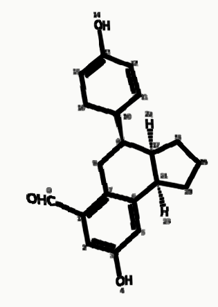 O=Cc1cc(O)cc2c1C[C@@H](C1C=CC(O)=CC1)[C@H]1CCC[C@@H]21